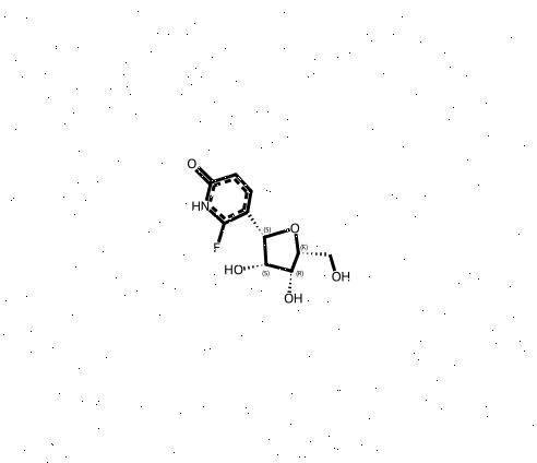 O=c1ccc([C@@H]2O[C@H](CO)[C@H](O)[C@@H]2O)c(F)[nH]1